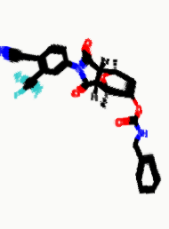 C[C@]12O[C@](C)(C[C@H]1OC(=O)NCc1ccccc1)[C@H]1C(=O)N(c3ccc(C#N)c(C(F)(F)F)c3)C(=O)[C@H]12